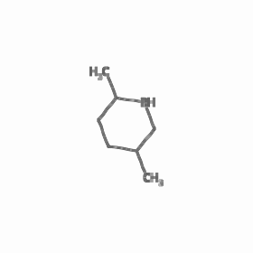 CC1BCC(C)CC1